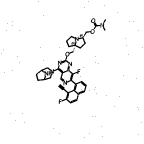 C#Cc1c(F)ccc2cccc(-c3ncc4c(N5CC6CCC(C5)N6)nc(OC[C@]56CCCN5[C@@H](COC(=O)N(C)C)CC6)nc4c3F)c12